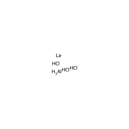 Cl.Cl.Cl.[AlH3].[La]